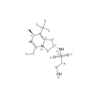 CCC1=N[C@@H](C)C(C(C)(C)C)=C2C[C@H](NS(=O)(=O)CCO)CN12